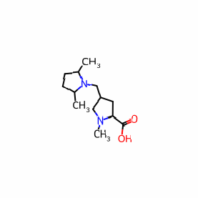 CC1CCC(C)N1CC1CC(C(=O)O)N(C)C1